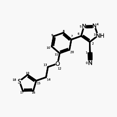 N#Cc1[nH]nnc1-c1cccc(OCCc2ccsc2)c1